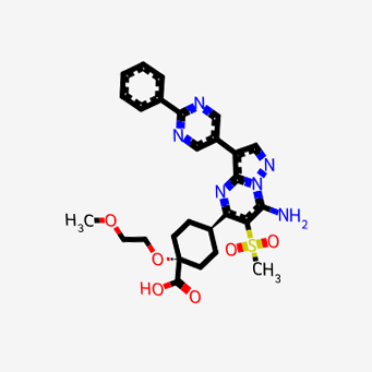 COCCO[C@]1(C(=O)O)CC[C@@H](c2nc3c(-c4cnc(-c5ccccc5)nc4)cnn3c(N)c2S(C)(=O)=O)CC1